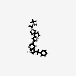 CC(C)(C)NC(=O)N1CCC2(CCn3nc(-c4cnc5[nH]cc(C(C)(C)c6ccccc6)c5c4)cc32)C1